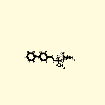 CC(C)(CCc1ccc(-c2ccccc2)cc1)OC(N)=O